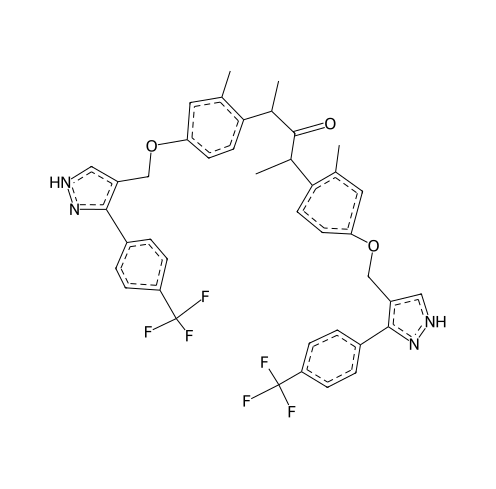 Cc1cc(OCc2c[nH]nc2-c2ccc(C(F)(F)F)cc2)ccc1C(C)C(=O)C(C)c1ccc(OCc2c[nH]nc2-c2ccc(C(F)(F)F)cc2)cc1C